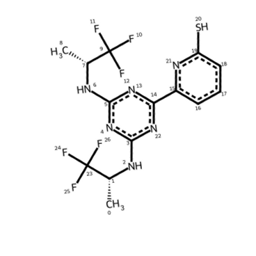 C[C@@H](Nc1nc(N[C@H](C)C(F)(F)F)nc(-c2cccc(S)n2)n1)C(F)(F)F